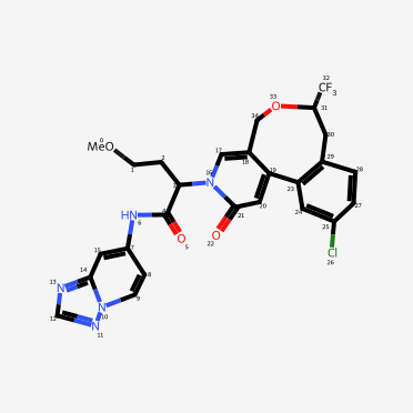 COCCC(C(=O)Nc1ccn2ncnc2c1)n1cc2c(cc1=O)-c1cc(Cl)ccc1CC(C(F)(F)F)OC2